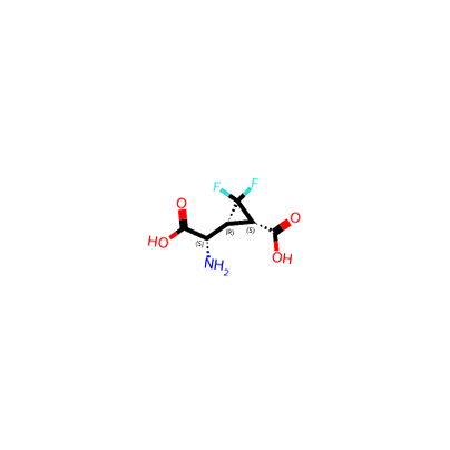 N[C@H](C(=O)O)[C@H]1[C@@H](C(=O)O)C1(F)F